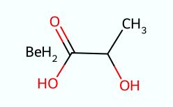 CC(O)C(=O)O.[BeH2]